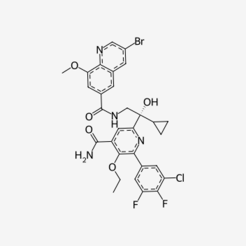 CCOc1c(C(N)=O)cc([C@@](O)(CNC(=O)c2cc(OC)c3ncc(Br)cc3c2)C2CC2)nc1-c1cc(F)c(F)c(Cl)c1